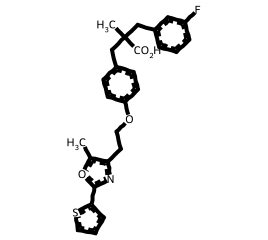 Cc1oc(-c2cccs2)nc1CCOc1ccc(CC(C)(Cc2cccc(F)c2)C(=O)O)cc1